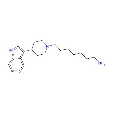 NCCCCCCCN1CCC(c2c[nH]c3ccccc23)CC1